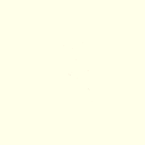 Cc1ccc(Cl)cc1NC(=O)C=NO